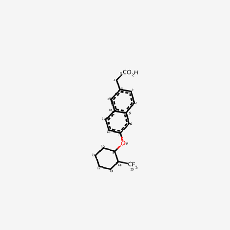 O=C(O)Cc1ccc2cc(OC3CCCCC3C(F)(F)F)ccc2c1